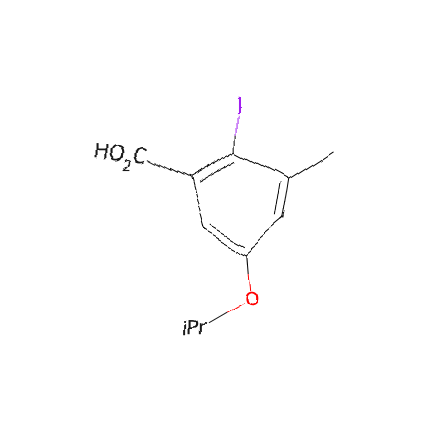 Cc1cc(OC(C)C)cc(C(=O)O)c1I